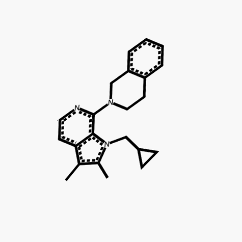 Cc1c(C)n(CC2CC2)c2c(N3CCc4ccccc4C3)n[c]cc12